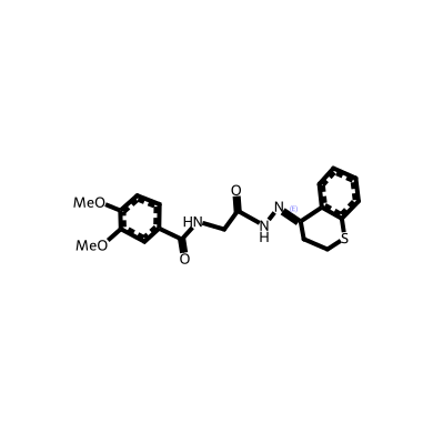 COc1ccc(C(=O)NCC(=O)N/N=C2\CCSc3ccccc32)cc1OC